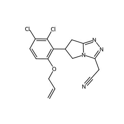 C=CCOc1ccc(Cl)c(Cl)c1C1Cc2nnc(CC#N)n2C1